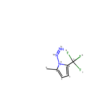 Cc1ccc(C(F)(F)F)n1N=N